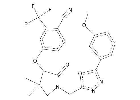 COc1cccc(-c2nnc(CN3CC(C)(C)C(Oc4ccc(C#N)c(C(F)(F)F)c4)C3=O)o2)c1